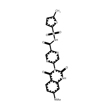 CNc1ccc2c(=O)n(-c3cnc(C(=O)NS(=O)(=O)c4ccc(C)s4)cn3)c(=O)[nH]c2c1